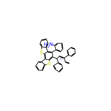 C=C/C(=C\C(c1ccccc1)c1c(-c2ccccc2N)c2c3ccccc3sc2c2c1sc1ccccc12)c1ccccc1